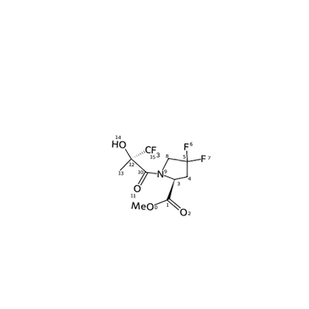 COC(=O)[C@@H]1CC(F)(F)CN1C(=O)[C@@](C)(O)C(F)(F)F